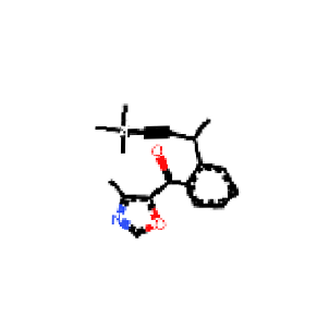 Cc1ncoc1C(=O)c1ccccc1C(C)C#C[Si](C)(C)C